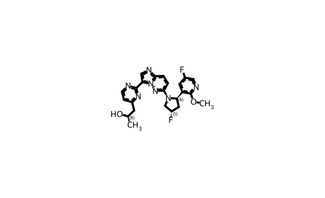 COc1ncc(F)cc1[C@H]1C[C@H](F)CN1c1ccc2ncc(-c3nccc(C[C@@H](C)O)n3)n2n1